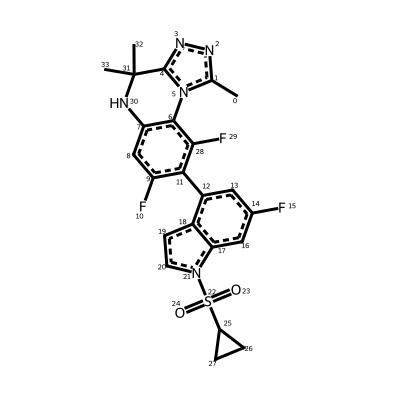 Cc1nnc2n1-c1c(cc(F)c(-c3cc(F)cc4c3ccn4S(=O)(=O)C3CC3)c1F)NC2(C)C